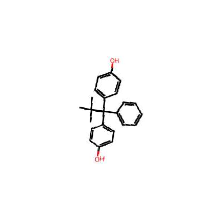 CC(C)(C)C(c1ccccc1)(c1ccc(O)cc1)c1ccc(O)cc1